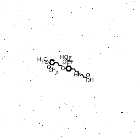 COc1ccc(CCCOc2ccc(CCCNCCC(=O)O)cc2)cc1OC.O=C(O)C(F)(F)F